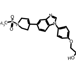 CS(=O)(=O)N1CC=C(c2ccc3c(c2)ncn3-c2ccc(OCCO)cc2)CC1